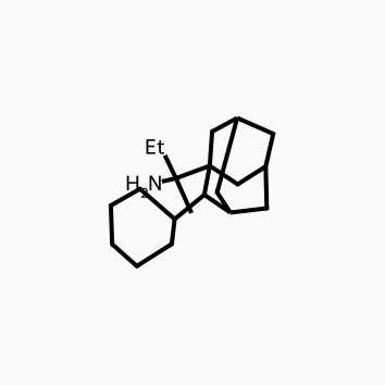 CCC(C)(N)C12CC3CC(CC(C3)C1C1CCCCC1)C2